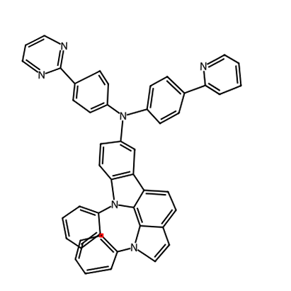 c1ccc(-n2ccc3ccc4c5cc(N(c6ccc(-c7ccccn7)cc6)c6ccc(-c7ncccn7)cc6)ccc5n(-c5ccccc5)c4c32)cc1